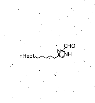 CCCCCCCCCCCCc1c[nH]c(C=O)n1